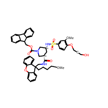 COCCCCC1(CNC(=O)[C@H]2C[C@@H](NS(=O)(=O)c3ccc(OCCCO)c(OC)c3)CN(C(=O)OCC3c4ccccc4-c4ccccc43)C2)c2ccccc2Oc2ccccc21